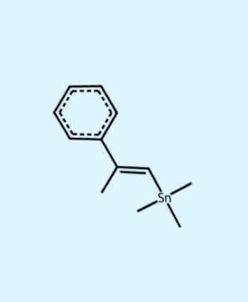 CC(=[CH][Sn]([CH3])([CH3])[CH3])c1ccccc1